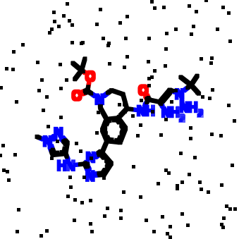 Cn1cc(Nc2nccc(-c3ccc4c(c3)CN(C(=O)OC(C)(C)C)CCC4NC(=O)/C(N)=C/N(N)C(C)(C)C)n2)cn1